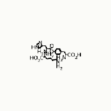 NCCCC[C@H](N)C(=O)O.N[C@@H](Cc1ccc(OC(=O)[C@@H](N)Cc2c[nH]cn2)cc1)C(=O)O